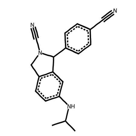 CC(C)Nc1ccc2c(c1)C(c1ccc(C#N)cc1)N(C#N)C2